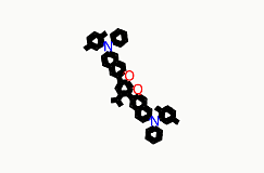 Cc1ccc(C)c(N(c2ccccc2)c2ccc3cc4c(cc3c2)oc2c4cc(C(C)C)c3c4cc5ccc(N(c6ccccc6)c6cc(C)ccc6C)cc5cc4oc23)c1